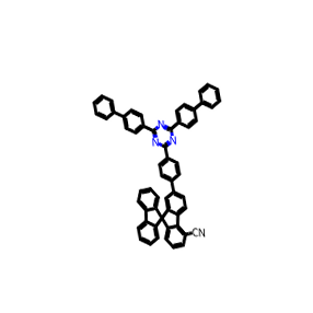 N#Cc1cccc2c1-c1ccc(-c3ccc(-c4nc(-c5ccc(-c6ccccc6)cc5)nc(-c5ccc(-c6ccccc6)cc5)n4)cc3)cc1C21c2ccccc2-c2ccccc21